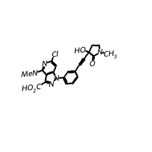 CNc1nc(Cl)cc2c1c(C(=O)O)nn2-c1cccc(C#CC2(O)CCN(C)C2=O)c1